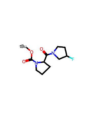 CC(C)(C)OC(=O)N1CCCC1C(=O)N1CCC(F)C1